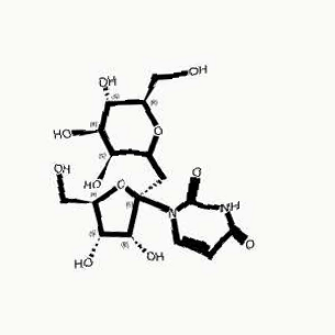 O=c1ccn([C@]2(CC3O[C@H](CO)[C@@H](O)[C@H](O)[C@@H]3O)O[C@H](CO)[C@@H](O)[C@H]2O)c(=O)[nH]1